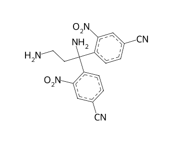 N#Cc1ccc(C(N)(CCN)c2ccc(C#N)cc2[N+](=O)[O-])c([N+](=O)[O-])c1